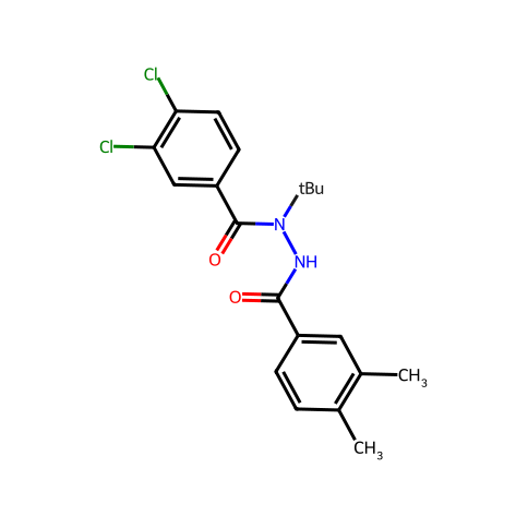 Cc1ccc(C(=O)NN(C(=O)c2ccc(Cl)c(Cl)c2)C(C)(C)C)cc1C